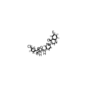 O=C(Nc1ccc(-n2cnc3ccc(F)cc3c2=O)nc1)NS(=O)(=O)c1ccc(Cl)s1